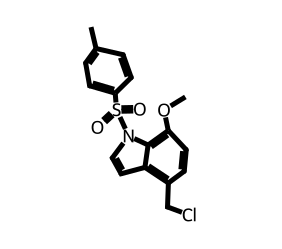 COc1ccc(CCl)c2ccn(S(=O)(=O)c3ccc(C)cc3)c12